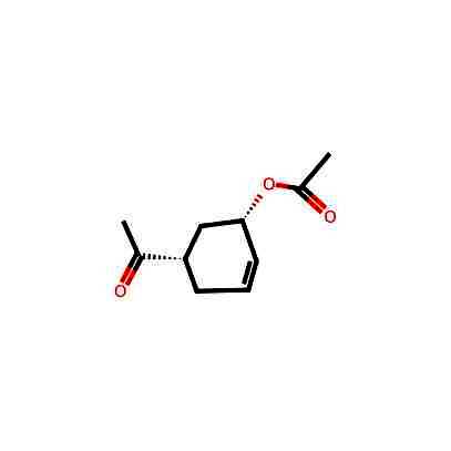 CC(=O)O[C@@H]1C=CC[C@H](C(C)=O)C1